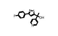 CC(O)(c1ccncc1)c1cc(-c2ccc(F)cc2)ns1